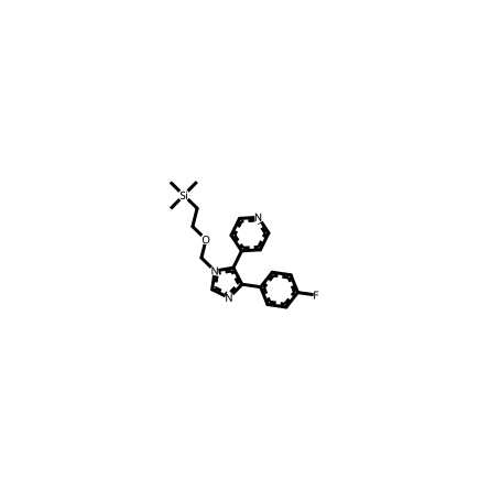 C[Si](C)(C)CCOCn1cnc(-c2ccc(F)cc2)c1-c1ccncc1